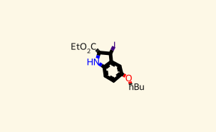 CCCCOc1ccc2c(c1)C(I)C(C(=O)OCC)N2